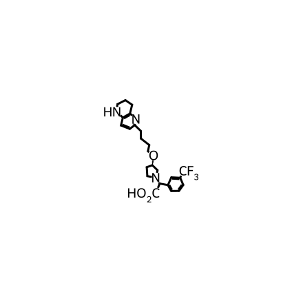 O=C(O)C(c1cccc(C(F)(F)F)c1)N1CC[C@@H](OCCCCc2ccc3c(n2)CCCN3)C1